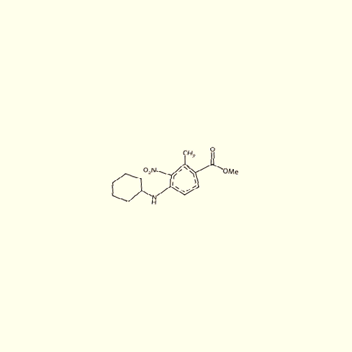 COC(=O)c1ccc(NC2CCCCC2)c([N+](=O)[O-])c1C